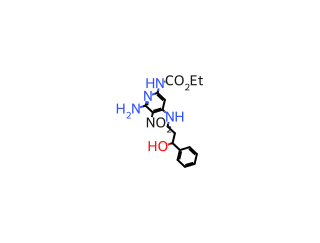 CCOC(=O)Nc1cc(NCCC(O)c2ccccc2)c([N+](=O)[O-])c(N)n1